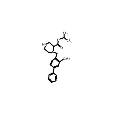 COc1cc(-c2ccccc2)ccc1CN1CCNCC1C(=O)OC(C(F)(F)F)C(F)(F)F